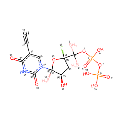 BC(B)(OP(=O)(O)OP(=O)(O)O)[C@]1(F)C[C@@H](O)[C@](B)(n2cc(C#C)c(=O)[nH]c2=O)O1